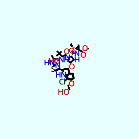 C=C[C@@H]1CC1(NC(=O)[C@@H]1C[C@@H](OC2=CC(c3csc(NC(C)C)n3)Nc3c2ccc(OCCO)c3Cl)CN1C(=O)[C@@H](NO)C(C)(C)C)C(=O)OC